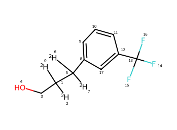 [2H]C([2H])(CO)C([2H])([2H])c1cccc(C(F)(F)F)c1